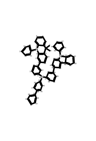 CC1(C)c2ccccc2N(c2ccccc2)c2cc(-c3cccc(N(c4ccc(-c5ccccc5)cc4)c4cccc(-c5ccc6c(c5)c5ccccc5n6-c5ccccc5)c4)c3)ccc21